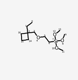 CCC1(COCC[Si](OC)(OC)OC)CCC1